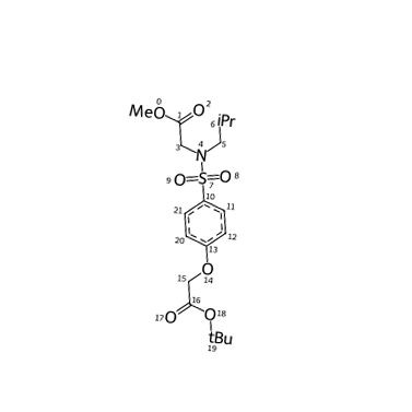 COC(=O)CN(CC(C)C)S(=O)(=O)c1ccc(OCC(=O)OC(C)(C)C)cc1